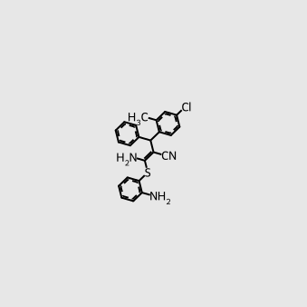 Cc1cc(Cl)ccc1C(/C(C#N)=C(\N)Sc1ccccc1N)c1ccccc1